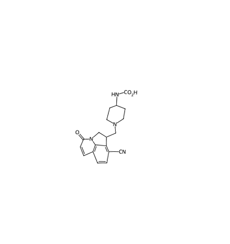 N#Cc1ccc2ccc(=O)n3c2c1C(CN1CCC(NC(=O)O)CC1)C3